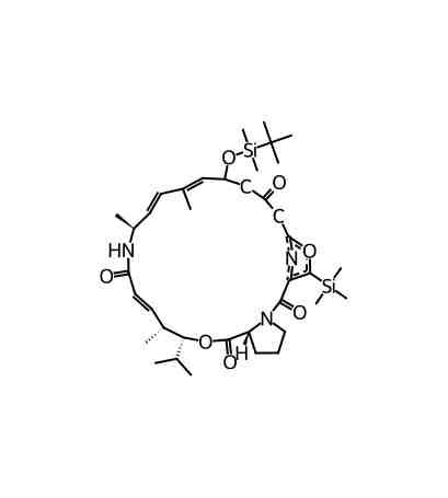 CC1=C\C(O[Si](C)(C)C(C)(C)C)CC(=O)Cc2nc(c([Si](C)(C)C)o2)C(=O)N2CCC[C@@H]2C(=O)O[C@H](C(C)C)[C@H](C)/C=C/C(=O)N[C@@H](C)\C=C\1